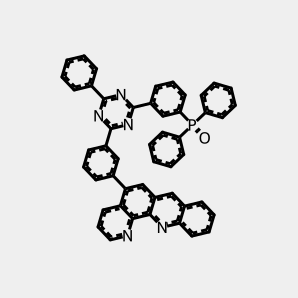 O=P(c1ccccc1)(c1ccccc1)c1cccc(-c2nc(-c3ccccc3)nc(-c3cccc(-c4cc5cc6ccccc6nc5c5ncccc45)c3)n2)c1